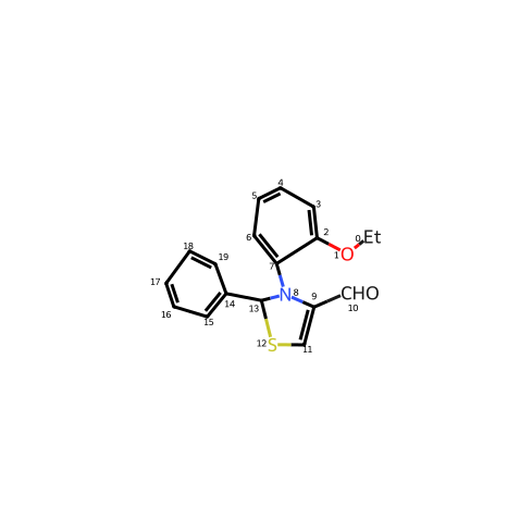 CCOc1ccccc1N1C(C=O)=CSC1c1ccccc1